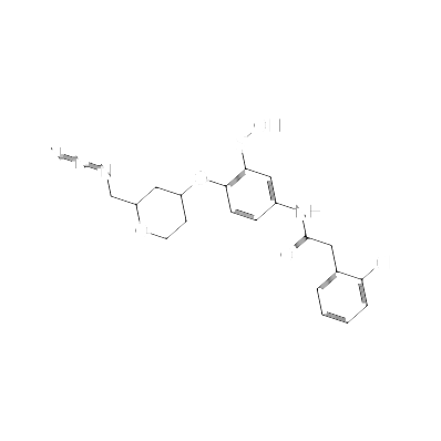 [N-]=[N+]=NCC1CC(Oc2ccc(NC(=O)Cc3ccccc3Cl)cc2SO)CCO1